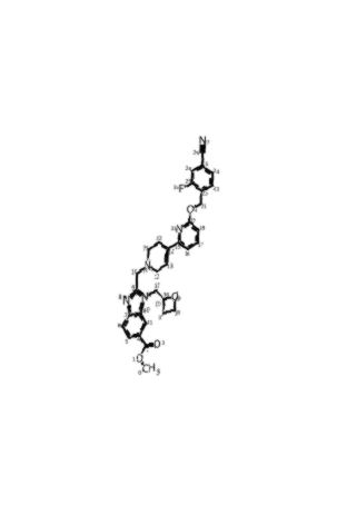 COC(=O)c1ccc2nc(CN3CC=C(c4cccc(OCc5ccc(C#N)cc5F)n4)CC3)n(C[C@@H]3CCO3)c2c1